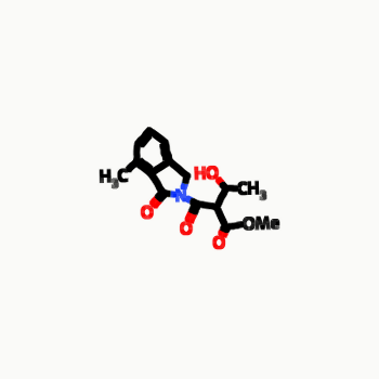 COC(=O)C(C(=O)N1Cc2cccc(C)c2C1=O)C(C)O